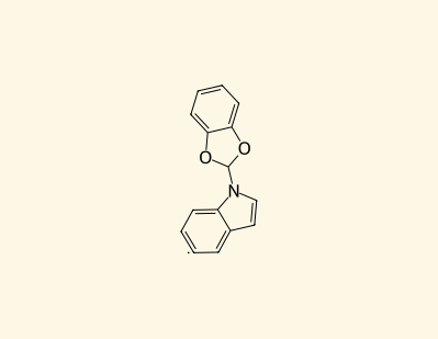 [c]1ccc2c(c1)ccn2C1Oc2ccccc2O1